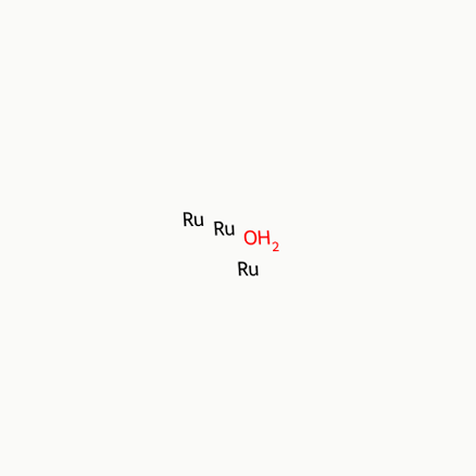 O.[Ru].[Ru].[Ru]